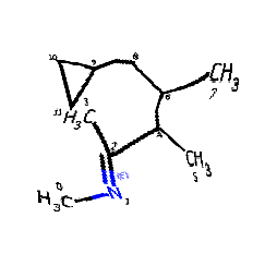 C/N=C(\C)C(C)C(C)CC1CC1